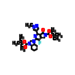 Cn1cc(-c2nc(N3CN(C(=O)OC(C)(C)C)C4CCCCC43)c(F)c3c2C(=O)N(C(=O)OC(C)(C)C)C3)cn1